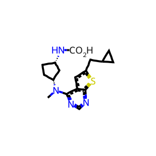 CN(c1ncnc2sc(CC3CC3)cc12)[C@@H]1CC[C@H](NC(=O)O)C1